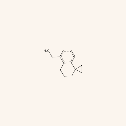 CSc1cccc2c1CCCC21CC1